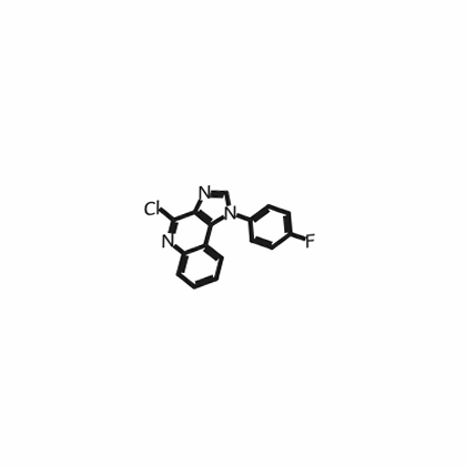 Fc1ccc(-n2cnc3c(Cl)nc4ccccc4c32)cc1